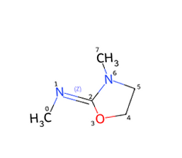 C/N=C1\OCCN1C